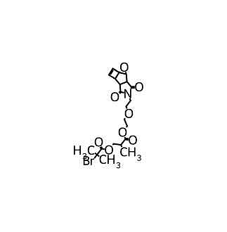 CC(COC(=O)C(C)(C)Br)C(=O)OCCOCCN1C(=O)C2C(C1=O)C1OC13C=CC23